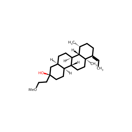 C/C=C1/CC[C@@H](C)[C@H]2[C@@H]3CC[C@@H]4C[C@@](O)(CCOC)CC[C@@H]4[C@H]3CC[C@]12C